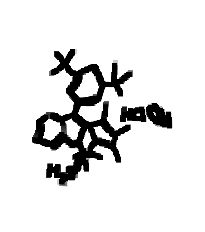 CC1=C(C)C(C)[C]([Zr]([CH3])([CH3])(=[SiH2])[CH]2C=C(c3cc(C(C)(C)C)cc(C(C)(C)C)c3)c3ccccc32)=C1C.Cl.Cl